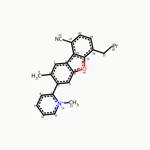 Cc1cc2c(cc1-c1cccc[n+]1C)oc1c(CC(C)C)ccc(C#N)c12